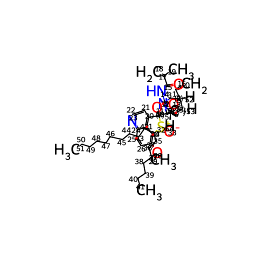 C=C[C@H]1CN2CC[C@H]1C[C@@H]2[C@@](OC(=O)NC(=O)C(=C)C)(c1ccnc2ccc(OC)cc12)[S+]([O-])C(CCCCCCC)CCCCCCCCCC